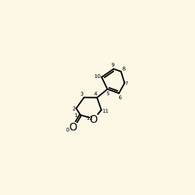 O=C1CCC(C2=CCCC=C2)CO1